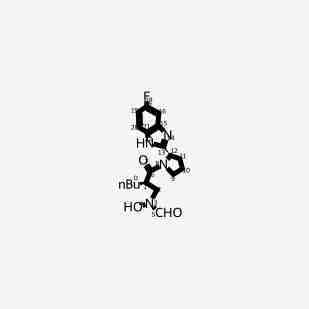 CCCC[C@H](CN(O)C=O)C(=O)N1CCC[C@H]1c1nc2cc(F)ccc2[nH]1